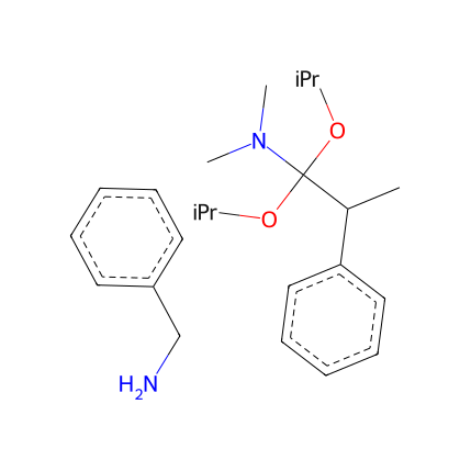 CC(C)OC(OC(C)C)(C(C)c1ccccc1)N(C)C.NCc1ccccc1